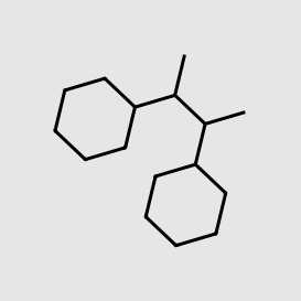 CC(C1CCCCC1)C(C)C1CCCCC1